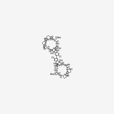 COC[C@@H]1NC(=O)C2CCCNN2C(=O)[C@@H]2CCCNN2C(=O)C(C(C)C)NC(=O)[C@@H]2C[C@@]3(O)c4cc(-c5cc6c(cc5Cl)N[C@H]5N7C(=O)[C@@H]([C@H](C)O)NC(=O)[C@H](COC)NC(=O)[C@H]8CCCNN8C(=O)[C@@H]8CCCNN8C(=O)C(C(C)C)NC(=O)[C@@H]7C[C@@]65O)c(Cl)cc4N[C@H]3N2C(=O)[C@@H]([C@H](C)O)NC1=O